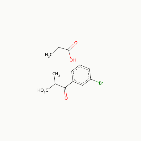 CC(C(=O)O)C(=O)c1cccc(Br)c1.CCC(=O)O